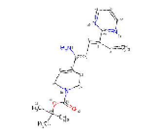 C=C/C(=C\C=C(/N)C1=CCN(C(=O)OC(C)(C)C)CC1)c1ncccn1